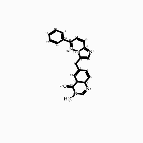 CN1C=NC2C=CC(Cc3cnc4ccc(-c5ccccc5)nn34)=CC2C1=O